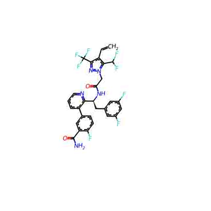 C=Cc1c(C(F)(F)F)nn(CC(=O)N[C@@H](Cc2cc(F)cc(F)c2)c2ncccc2-c2ccc(F)c(C(N)=O)c2)c1C(F)F